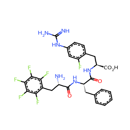 N=C(N)Nc1ccc(C[C@H](NC(=O)[C@H](Cc2ccccc2)NC(=O)[C@@H](N)Cc2c(F)c(F)c(F)c(F)c2F)C(=O)O)c(F)c1